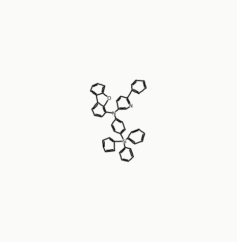 c1ccc(-c2ccc(N(c3ccc([Si](c4ccccc4)(c4ccccc4)c4ccccc4)cc3)c3cccc4c3oc3ccccc34)cn2)cc1